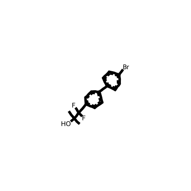 CC(C)(O)C(F)(F)c1ccc(-c2ccc(Br)cc2)cc1